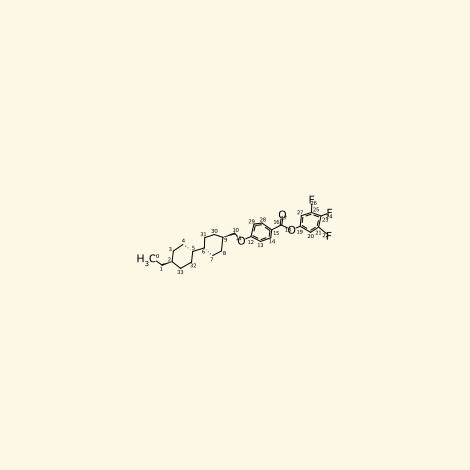 CC[C@H]1CC[C@H]([C@H]2CC[C@H](COc3ccc(C(=O)Oc4cc(F)c(F)c(F)c4)cc3)CC2)CC1